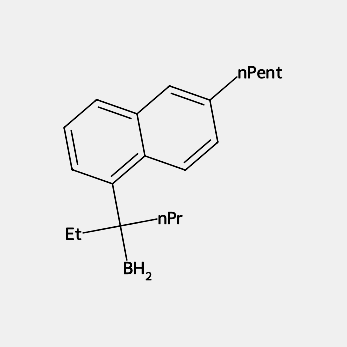 BC(CC)(CCC)c1cccc2cc(CCCCC)ccc12